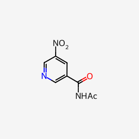 CC(=O)NC(=O)c1cncc([N+](=O)[O-])c1